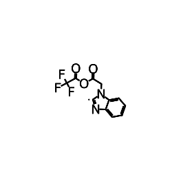 O=C(Cn1[c]nc2ccccc21)OC(=O)C(F)(F)F